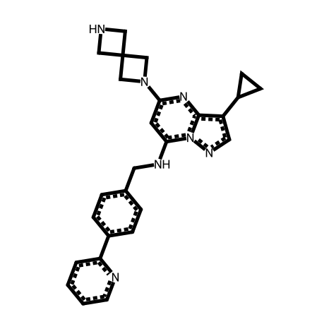 c1ccc(-c2ccc(CNc3cc(N4CC5(CNC5)C4)nc4c(C5CC5)cnn34)cc2)nc1